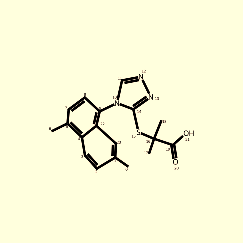 Cc1ccc2c(C)ccc(-n3cnnc3SC(C)(C)C(=O)O)c2c1